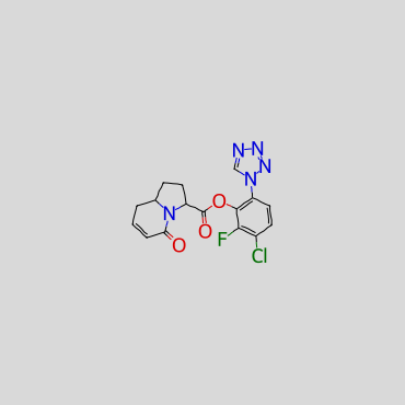 O=C(Oc1c(-n2cnnn2)ccc(Cl)c1F)C1CCC2CC=CC(=O)N21